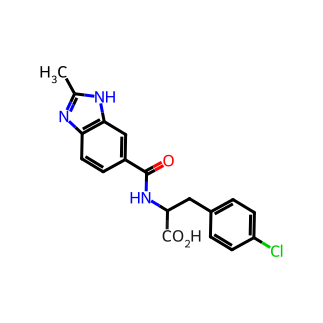 Cc1nc2ccc(C(=O)NC(Cc3ccc(Cl)cc3)C(=O)O)cc2[nH]1